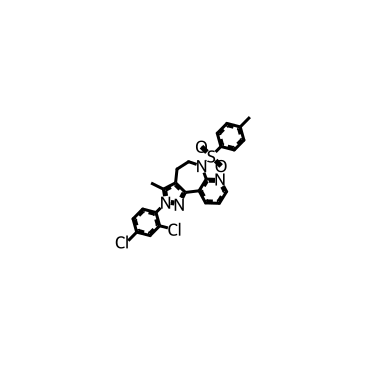 Cc1ccc(S(=O)(=O)N2CCc3c(nn(-c4ccc(Cl)cc4Cl)c3C)-c3cccnc32)cc1